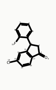 O=C1CC(c2ccccc2F)c2cc(Cl)ccc21